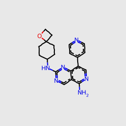 Nc1ncc(-c2ccncc2)c2nc(NC3CCC4(CCO4)CC3)ncc12